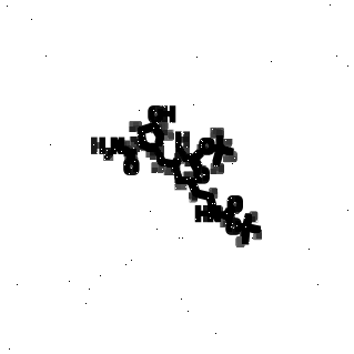 CC(C)(C)OC(=O)NCCCC[C@@H](CN1C[C@H](O)C[C@H]1C(N)=O)NC(=O)OC(C)(C)C